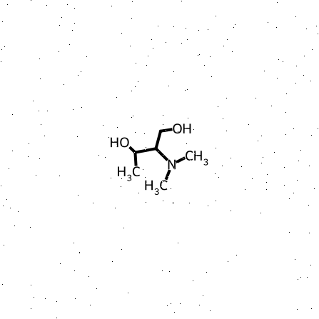 CC(O)C(CO)N(C)C